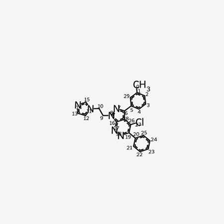 Cc1cccc(-c2nn(CCn3ccnc3)c3nnc(-c4ccccc4)c(Cl)c23)c1